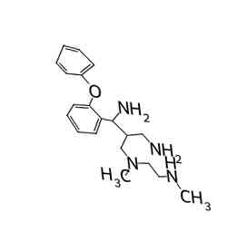 CNCCN(C)CC(CN)C(N)c1ccccc1Oc1ccccc1